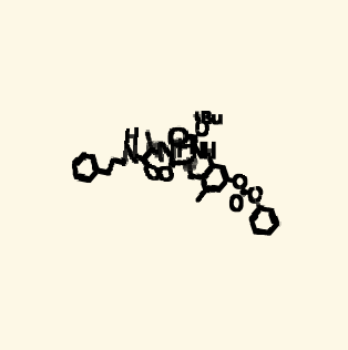 Cc1cc(OC(=O)Oc2ccccc2)cc(C)c1C[C@H](NC(=O)OC(C)(C)C)C(=O)N[C@H](C)C(=O)NCCCc1ccccc1